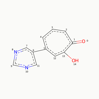 O=c1cccc(-c2cncnc2)cc1O